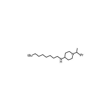 CC(C)C(C)N1CCC(NCCCCCCCC(C)(C)C)CC1